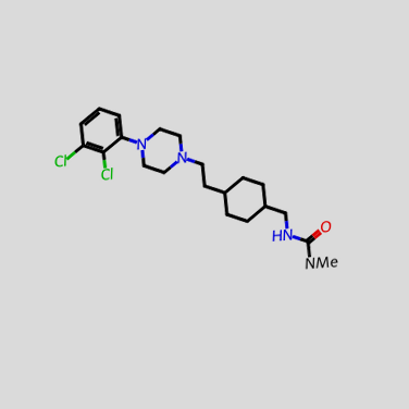 CNC(=O)NCC1CCC(CCN2CCN(c3cccc(Cl)c3Cl)CC2)CC1